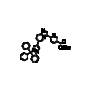 COC(=O)c1ccc(-c2cnc3ccc(-c4cnn(C(c5ccccc5)(c5ccccc5)C5C=CC=CC5)c4)cn23)nc1